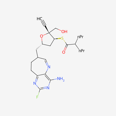 C#C[C@]1(CO)O[C@@H](CC2C=Nc3c(N)nc(F)nc3CC2)C[C@@H]1SC(=O)C(CCC)CCC